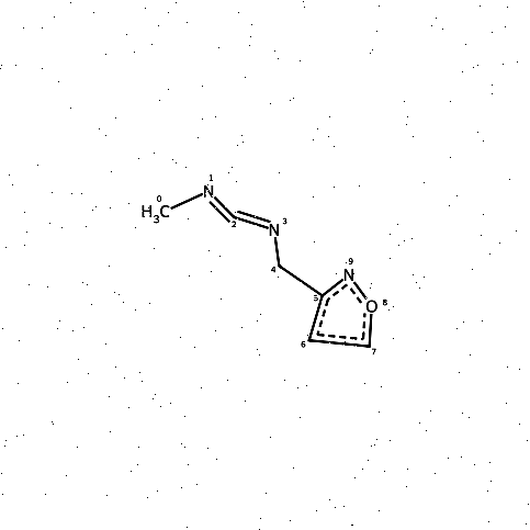 CN=C=NCc1ccon1